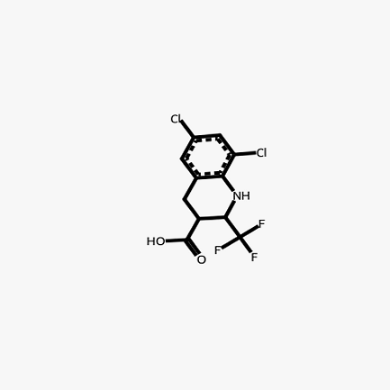 O=C(O)C1Cc2cc(Cl)cc(Cl)c2NC1C(F)(F)F